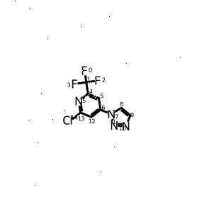 FC(F)(F)c1cc(-n2ccnn2)cc(Cl)n1